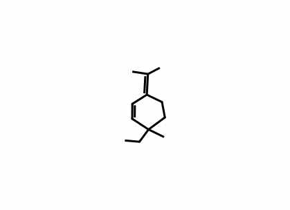 CCC1(C)C=CC(=C(C)C)CC1